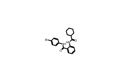 O=C(Nc1ccc(Br)cc1)c1ccccc1NC(=O)C1CCCCC1